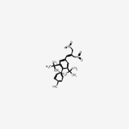 CC(C)(C)c1cc(C=C(C[SH](=O)=O)C[SH](=O)=O)cc(C(C)(C)C)c1-c1ccc(O)cc1